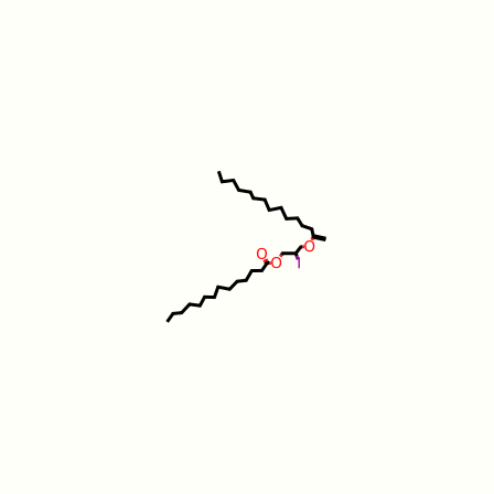 C=C(CCCCCCCCCCCCC)OCC(I)COC(=O)CCCCCCCCCCCCC